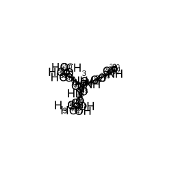 C[C@@H]1O[C@@H](OCCNC(=O)CN(CC(=O)NCCOCCOCCC(=O)Nc2ccccc2)CC(=O)NCCO[C@@H]2O[C@@H](C)[C@@H](O)[C@@H](O)[C@@H]2O)[C@@H](O)[C@H](O)[C@@H]1O